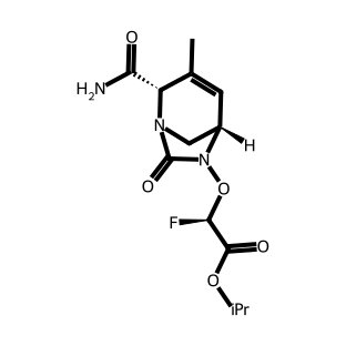 CC1=C[C@H]2CN(C(=O)N2O[C@H](F)C(=O)OC(C)C)[C@@H]1C(N)=O